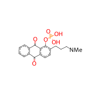 CNCCCc1ccc2c(c1OP(=O)(O)O)C(=O)c1ccccc1C2=O